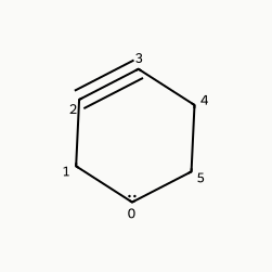 [C]1CC#CCC1